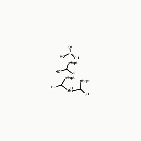 CCCCCCCC(O)S.CCCCCCCC(O)S.CCCCCCCC(O)S.OP(O)O